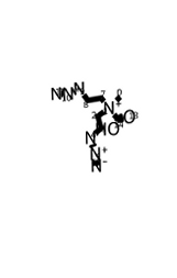 C[N+](CCN=[N+]=[N-])(CCN=[N+]=[N-])C(=O)O